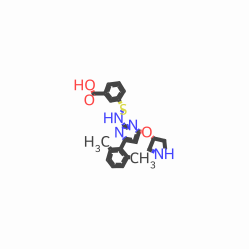 Cc1cccc(C)c1-c1cc(OC2CCNC2)nc(NSc2cccc(C(=O)O)c2)n1